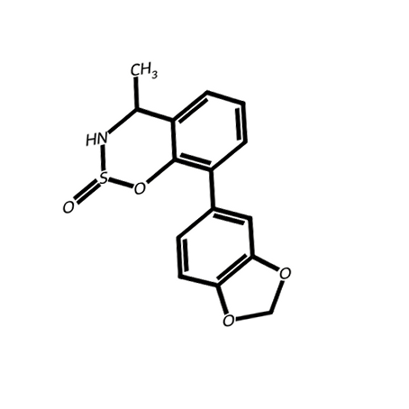 CC1NS(=O)Oc2c(-c3ccc4c(c3)OCO4)cccc21